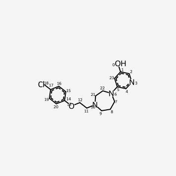 Oc1cncc(N2CCCN(CCOc3ccc(Cl)cc3)CC2)c1